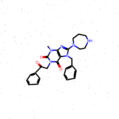 Cn1c(=O)n(CC(=O)c2ccccc2)c(=O)c2c1nc(N1CCCNCC1)n2Cc1ccccc1